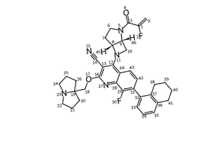 C=C(F)C(=O)N1CC[C@@H]2[C@H]1CN2c1c(C#N)c(OCC23CCCN2CCC3)nc2c(F)c(-c3cccc4c3CCCC4)ccc12